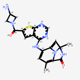 CC1=C2C(=O)NC3(C)C=C(C(Nc4ncnc5sc(C(=O)N6CC(N)C6)cc45)=C1)N23